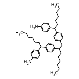 CCCCCCC(Cc1ccc(C(CCCCCC)c2ccc(N)cc2)cc1)c1ccc(C(CCCCCC)c2ccc(N)cc2)cc1